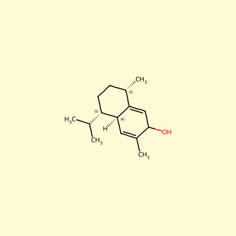 CC1=C[C@@H]2C(=CC1O)[C@@H](C)CC[C@H]2C(C)C